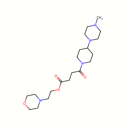 CN1CCN(C2CCN(C(=O)CCC(=O)OCCN3CCOCC3)CC2)CC1